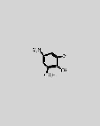 CCOC(=O)c1cc([N+](=O)[O-])cc(Br)c1O